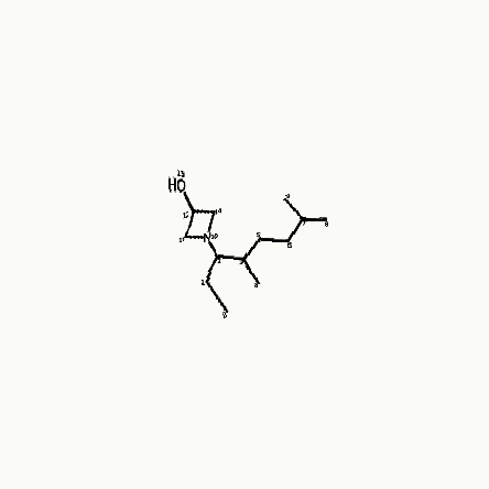 CCC(C(C)CCC(C)C)N1CC(O)C1